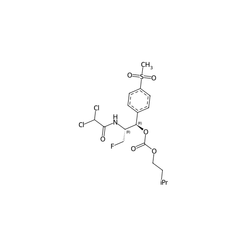 CC(C)CCOC(=O)O[C@H](c1ccc(S(C)(=O)=O)cc1)[C@H](CF)NC(=O)C(Cl)Cl